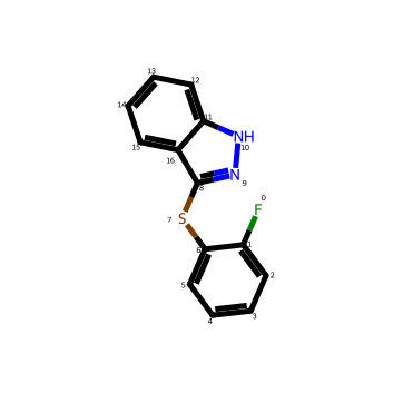 Fc1ccccc1Sc1n[nH]c2ccccc12